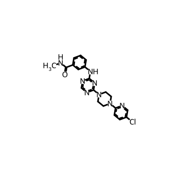 CNC(=O)c1cccc(Nc2ncnc(N3CCN(c4ccc(Cl)cn4)CC3)n2)c1